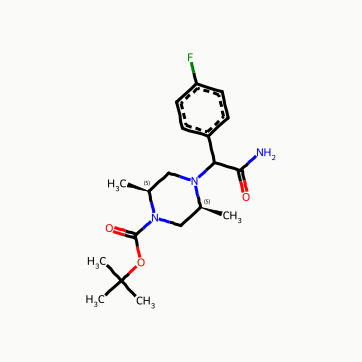 C[C@H]1CN(C(C(N)=O)c2ccc(F)cc2)[C@@H](C)CN1C(=O)OC(C)(C)C